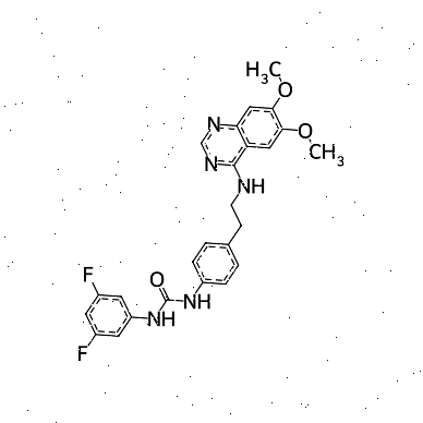 COc1cc2ncnc(NCCc3ccc(NC(=O)Nc4cc(F)cc(F)c4)cc3)c2cc1OC